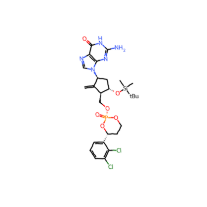 C=C1[C@H](CO[P@]2(=O)OCC[C@H](c3cccc(Cl)c3Cl)O2)[C@@H](O[Si](C)(C)C(C)(C)C)C[C@@H]1n1cnc2c(=O)[nH]c(N)nc21